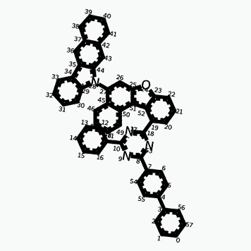 c1ccc(-c2ccc(-c3nc(-c4ccccc4)nc(-c4cccc5oc6cc(-n7c8ccccc8c8cc9ccccc9cc87)c7ccccc7c6c45)n3)cc2)cc1